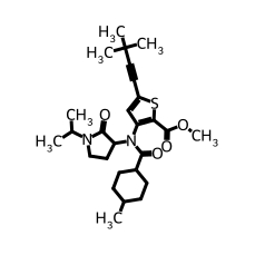 COC(=O)c1sc(C#CC(C)(C)C)cc1N(C(=O)C1CCC(C)CC1)C1CCN(C(C)C)C1=O